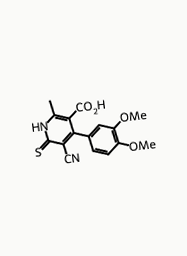 COc1ccc(-c2c(C(=O)O)c(C)[nH]c(=S)c2C#N)cc1OC